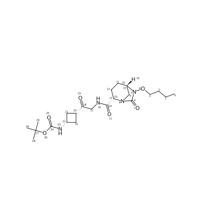 CCCCON1C(=O)N2C[C@@H]1CC[C@H]2C(=O)NCC(=O)[C@H]1C[C@@H](NC(=O)OC(C)(C)C)C1